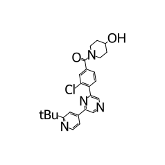 CC(C)(C)c1cc(-c2cncc(-c3ccc(C(=O)N4CCC(O)CC4)cc3Cl)n2)ccn1